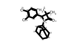 CC1(C)C(=O)N(C2C3CC4CC(C3)CC2C4)C1c1ccc(Cl)c(Cl)c1